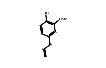 C=CCc1ccc(C(C)(C)C)c(OC)c1